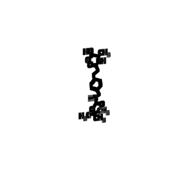 CC(NC(=O)CCc1ccc(CNC(=O)OC(C)(C)C)cc1)C(=O)O